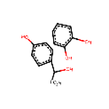 O=C(O)C(O)c1ccc(O)cc1.Oc1ccccc1O